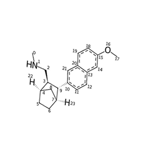 CNC[C@@H]1[C@@H]2CC[C@@H](C2)[C@H]1c1ccc2cc(OC)ccc2c1